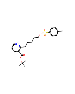 Cc1ccc(S(=O)(=O)OCCCCCc2ncccc2C(=O)OC(C)(C)C)cc1